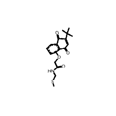 CSCNC(=O)COc1cccc2c1C(=O)C=C(C(C)(C)C)C2=O